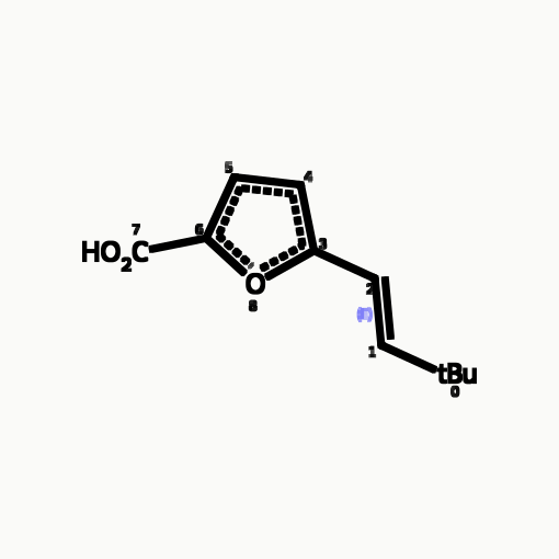 CC(C)(C)/C=C/c1ccc(C(=O)O)o1